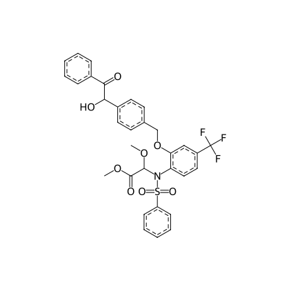 COC(=O)C(OC)N(c1ccc(C(F)(F)F)cc1OCc1ccc(C(O)C(=O)c2ccccc2)cc1)S(=O)(=O)c1ccccc1